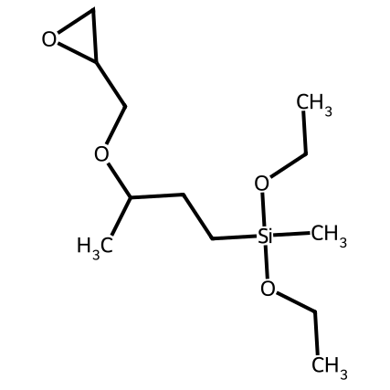 CCO[Si](C)(CCC(C)OCC1CO1)OCC